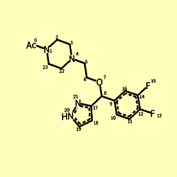 CC(=O)N1CCN(CCOC(c2ccc(F)c(F)c2)c2cc[nH]n2)CC1